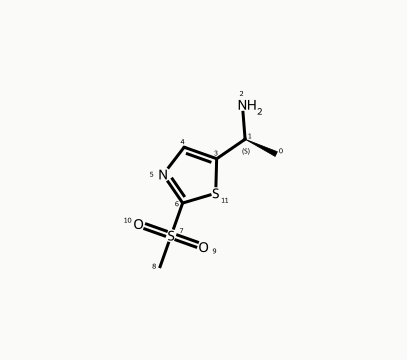 C[C@H](N)c1cnc(S(C)(=O)=O)s1